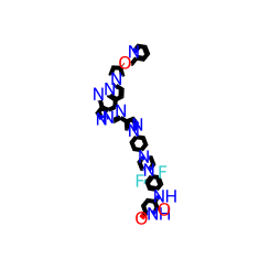 N#Cc1cnn2cc(-c3cnn(C4CCC(N5CCN(c6c(F)cc(NC7CCC(=O)NC7=O)cc6F)CC5)CC4)c3)nc(-c3ccc(N4CC[C@H](OCc5ccccn5)C4)nc3)c12